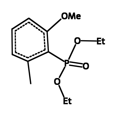 CCOP(=O)(OCC)c1c(C)cccc1OC